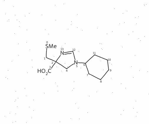 CSCC1(C(=O)O)CN(C2CCCCC2)C=N1